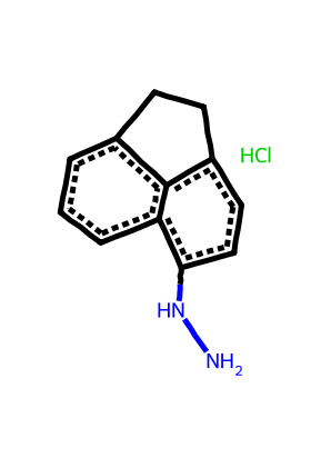 Cl.NNc1ccc2c3c(cccc13)CC2